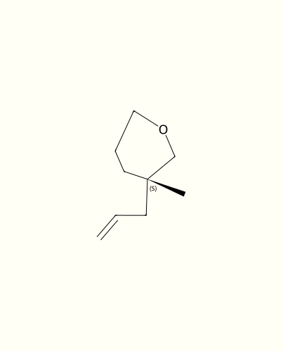 C=CC[C@]1(C)CCCOC1